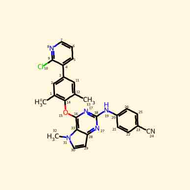 Cc1cc(-c2cccnc2Cl)cc(C)c1Oc1nc(Nc2ccc(C#N)cc2)nc2ccn(C)c12